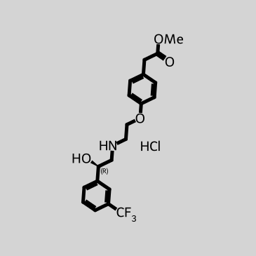 COC(=O)Cc1ccc(OCCNC[C@H](O)c2cccc(C(F)(F)F)c2)cc1.Cl